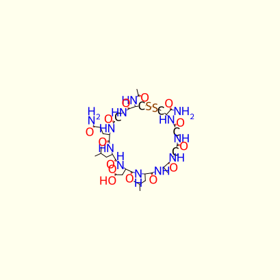 CC(=O)NC1CSSCC(C(N)=O)NC(=O)CNC(=O)CNC(=O)C(C)NC(=O)C(CC(C)C)NC(=O)C(CC(=O)O)NC(=O)C(CC(C)C)NC(=O)C(CCC(N)=O)NC(=O)CNC1=O